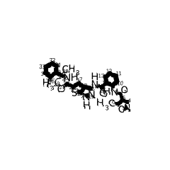 Cc1oncc1C(=O)Nc1ccccc1C(=O)Nc1n[nH]c2sc(C(=O)NC(C)(C)c3ccccc3F)cc12